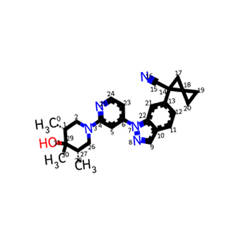 C[C@@H]1CN(c2cc(-n3ncc4ccc(C5(C#N)CC56CC6)cc43)ccn2)C[C@H](C)C1(C)O